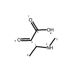 CCNC.O=CC(=O)O